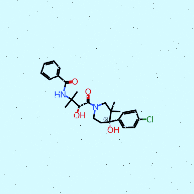 CC(C)(NC(=O)c1ccccc1)C(O)C(=O)N1CC[C@](O)(c2ccc(Cl)cc2)C(C)(C)C1